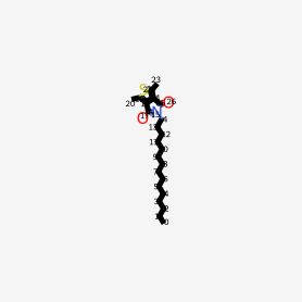 CCCCCCCCCCCCCCCN1C(=O)c2c(C)sc(C)c2C1=O